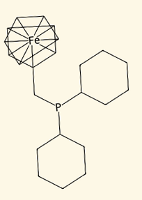 C1CCC(P(C[C]23[CH]4[CH]5[CH]6[CH]2[Fe]56432789[CH]3[CH]2[CH]7[CH]8[CH]39)C2CCCCC2)CC1